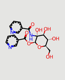 O=C(N[C@]1(O)[C@H](OC(=O)c2cccnc2)O[C@H](CO)[C@@H](O)[C@@H]1O)c1cccnc1